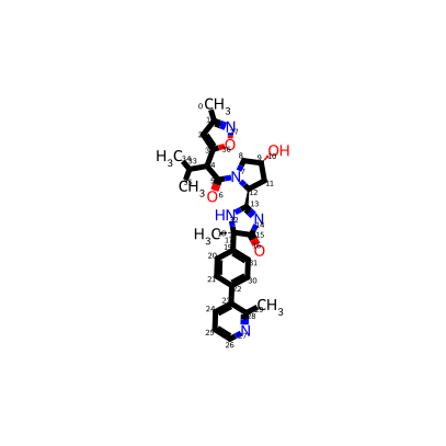 Cc1cc(C(C(=O)N2C[C@H](O)C[C@H]2C2=NC(=O)[C@@](C)(c3ccc(-c4cccnc4C)cc3)N2)C(C)C)on1